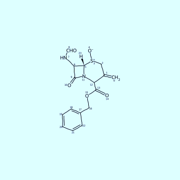 C=C1C[S+]([O-])[C@H]2C(NC=O)C(=O)N2C1C(=O)OCc1ccccc1